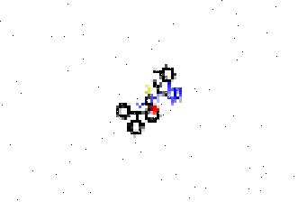 Cc1cccc(-n2nnnc2C2N3C(=O)C(NC(c4ccccc4)(c4ccccc4)c4ccccc4)C3SC2(C)C)c1